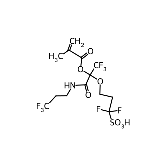 C=C(C)C(=O)OC(OCCC(F)(F)S(=O)(=O)O)(C(=O)NCCC(F)(F)F)C(F)(F)F